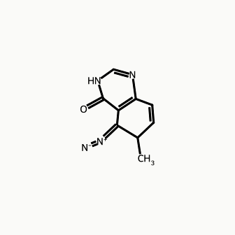 CC1C=Cc2nc[nH]c(=O)c2C1=[N+]=[N-]